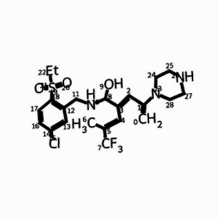 C=C(/C=C(\C=C(/C)C(F)(F)F)C(O)NCc1cc(Cl)ccc1S(=O)(=O)CC)N1CCNCC1